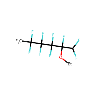 CCOC(F)(C(F)F)C(F)(F)C(F)(F)C(F)(F)C(F)(F)F